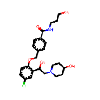 O=C(NCCCO)c1ccc(COc2ccc(Cl)cc2C(O)CN2CCC(O)CC2)cc1